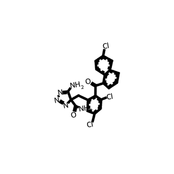 NC(=O)C1(Cc2cc(Cl)cc(Cl)c2C(=O)c2cccc3cc(Cl)ccc23)N=NN=C1N